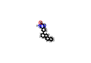 CN1Cc2cc(C3=c4ccc5c(c4CCC3)CC=c3ccccc3=5)ccc2N=CC1=O